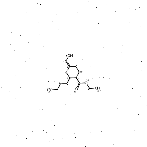 CCCCC1CC(=NO)CCC1C(=O)OCC